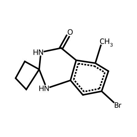 Cc1cc(Br)cc2c1C(=O)NC1(CCC1)N2